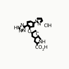 Cl.O=C(O)C1CC2CC(Oc3cc(-n4cccn4)ccc3-c3nn[nH]n3)CCC2CN1